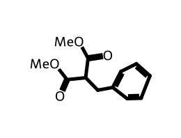 COC(=O)C(Cc1ccccc1)C(=O)OC